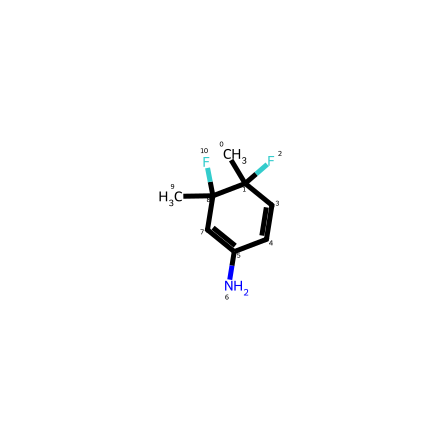 CC1(F)C=CC(N)=CC1(C)F